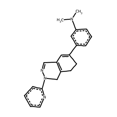 CN(C)c1cccc(C2=CC3=C(CC2)CN(c2ccccn2)N=C3)c1